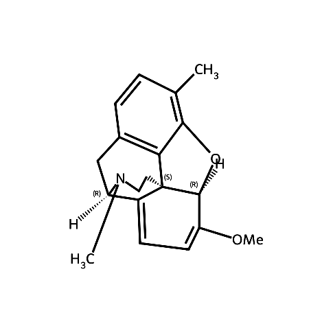 COC1=CC=C2[C@H]3Cc4ccc(C)c5c4[C@@]2(CCN3C)[C@H]1O5